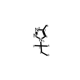 CCC(C)(C)n1cc(C)nn1